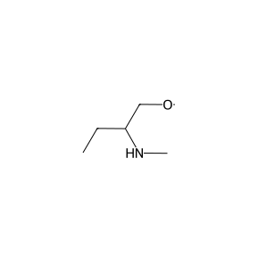 CCC(C[O])NC